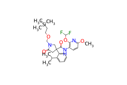 COc1ccc(NC(=O)C2(c3ccccc3C(C)C)CC(=O)N(COCC[Si](C)(C)C)C2)c(OC(F)F)n1